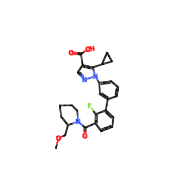 COCC1CCCCN1C(=O)c1cccc(-c2cccc(-n3ncc(C(=O)O)c3C3CC3)c2)c1F